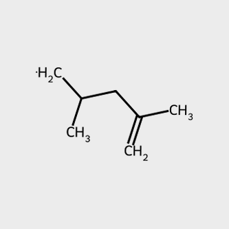 [CH2]C(C)CC(=C)C